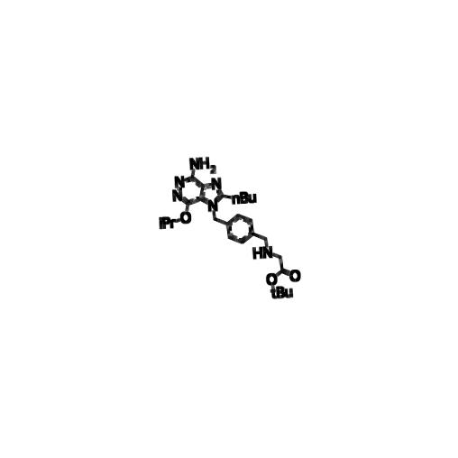 CCCCc1nc2c(N)nnc(OC(C)C)c2n1Cc1ccc(CNCC(=O)OC(C)(C)C)cc1